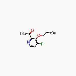 CC(C)(C)CCOc1c(F)ccnc1C(=O)C(C)(C)C